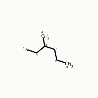 CCC[C](C)C[S]